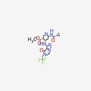 COC(=O)c1cnc(NC(=O)C2CC2)cc1Nc1ncn2ccn(CC(F)(F)F)c(=O)c12